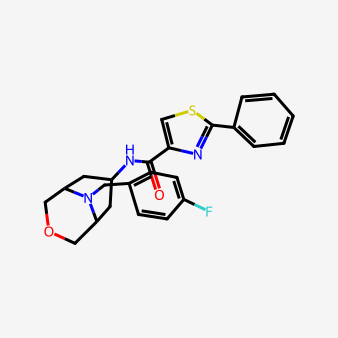 O=C(NC1CC2COCC(C1)N2Cc1ccc(F)cc1)c1csc(-c2ccccc2)n1